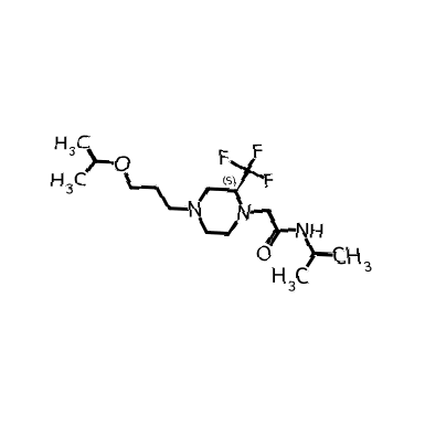 CC(C)NC(=O)CN1CCN(CCCOC(C)C)C[C@H]1C(F)(F)F